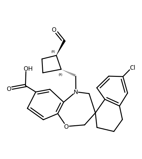 O=C[C@@H]1CC[C@H]1CN1CC2(CCCc3cc(Cl)ccc32)COc2ccc(C(=O)O)cc21